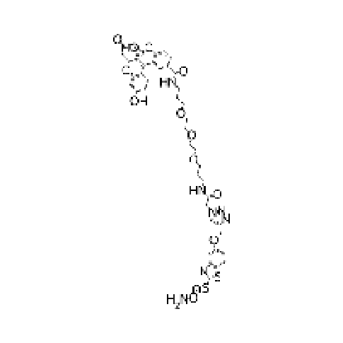 NOOSc1nc2cc(OCc3cn(CC(=O)NCCCOCCOCCOCCCNC(=O)c4ccc(C(=O)O)c(-c5c6ccc(=O)cc-6oc6cc(O)ccc56)c4)nn3)ccc2s1